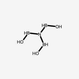 OBN(BO)BO